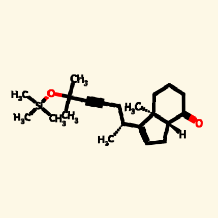 C[C@H](CC#CC(C)(C)O[Si](C)(C)C)C1=CC[C@H]2C(=O)CCC[C@]12C